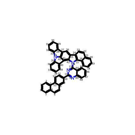 c1ccc2c(c1)ccc1cc(-c3nc(-n4c5c6ccccc6ccc5c5cc6c7ccccc7n7c8ccccc8c(c54)c67)c4ccccc4n3)ccc12